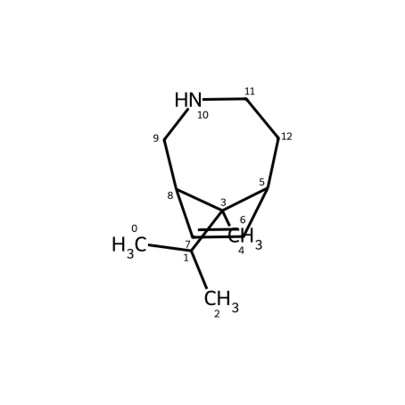 CC(C)C1(C)C2C=CC1CNCC2